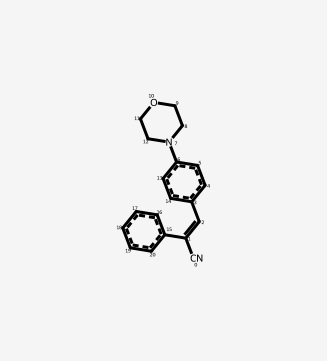 N#CC(=Cc1ccc(N2CCOCC2)cc1)c1ccccc1